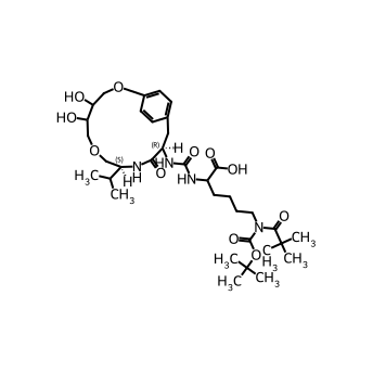 CC(C)[C@H]1COCC(O)C(O)COc2ccc(cc2)C[C@@H](NC(=O)NC(CCCCN(C(=O)OC(C)(C)C)C(=O)C(C)(C)C)C(=O)O)C(=O)N1